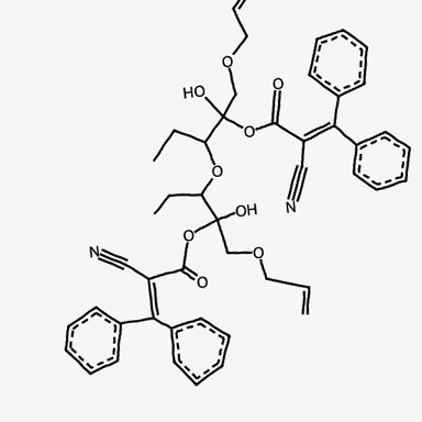 C=CCOCC(O)(OC(=O)C(C#N)=C(c1ccccc1)c1ccccc1)C(CC)OC(CC)C(O)(COCC=C)OC(=O)C(C#N)=C(c1ccccc1)c1ccccc1